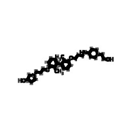 Cc1c(OCCCNC2CCN(CCO)CC2)cccc1-c1cccc(OCCCN2CCC(O)C2)c1C